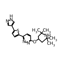 CC1(C)CC(Oc2ccc(-c3ccc(-c4cn[nH]c4)s3)nn2)CC(C)(C)N1